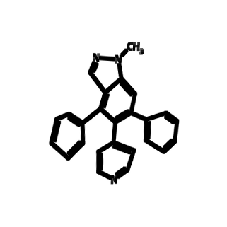 Cn1ncc2c(-c3ccccc3)c(-c3ccncc3)c(-c3ccccc3)cc21